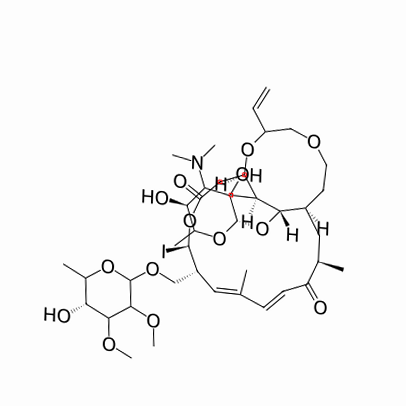 C=CC1COCC[C@H]2C[C@@H](C)C(=O)/C=C/C(C)=C/[C@H](COC3OC(C)[C@@H](O)C(OC)C3OC)[C@@H](I)OC(=O)C[C@@H](O1)[C@H](C)[C@H]2O[C@@H]1OC(C)[C@@H](O)C(N(C)C)C1O